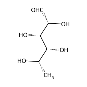 C[C@H](O)[C@@H](O)[C@H](O)[C@@H](O)C=O